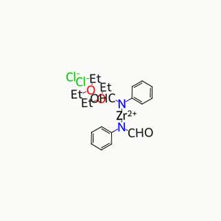 CCOCC.CCOCC.O=C[N]([Zr+2][N](C=O)c1ccccc1)c1ccccc1.[Cl-].[Cl-]